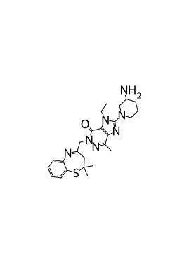 CCn1c(N2CCCC(N)C2)nc2c(C)nn(CC3=Nc4ccccc4SC(C)(C)C3)c(=O)c21